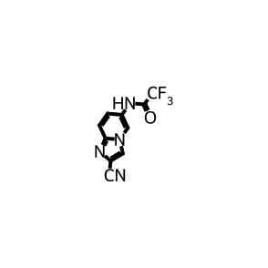 N#Cc1cn2cc(NC(=O)C(F)(F)F)ccc2n1